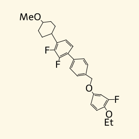 CCOc1ccc(OCc2ccc(-c3ccc(C4CCC(OC)CC4)c(F)c3F)cc2)cc1F